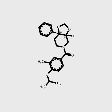 Cc1cc(C(=O)N2CC[C@]3(c4ccccc4)OCO[C@@H]3C2)ccc1OC(C)C